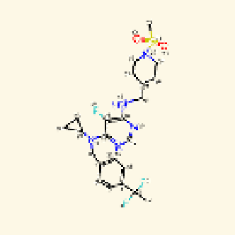 CC(F)(F)c1ccc(CN(c2ncnc(NCC3CCN(S(C)(=O)=O)CC3)c2F)C2CC2)cc1